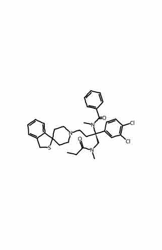 CCC(=O)N(C)C[C@](CCN1CCC2(CC1)SCc1ccccc12)(c1ccc(Cl)c(Cl)c1)N(C)C(=O)c1ccccc1